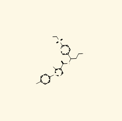 CCCC(NC(=O)c1cnn(-c2ccc(Cl)cc2)c1C)c1ccc(S(=O)(=O)CC)nc1